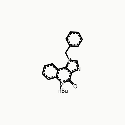 CCCCn1c(=O)c2ncn(Cc3ccccc3)c2c2ccccc21